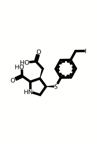 O=C(O)C[C@@H]1C(C(=O)O)NC[C@@H]1Sc1ccc(CI)cc1